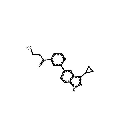 CCOC(=O)c1cccc(-c2ccc3[nH]nc(C4CC4)c3c2)c1